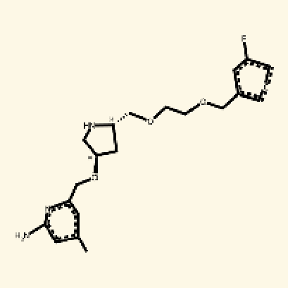 Cc1cc(N)nc(CO[C@H]2CN[C@H](COCCOCc3cccc(F)c3)C2)c1